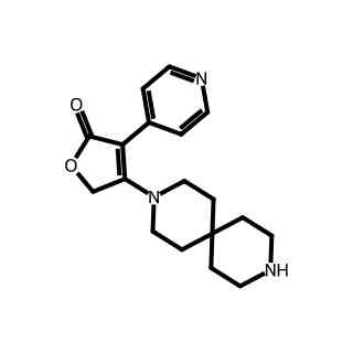 O=C1OCC(N2CCC3(CCNCC3)CC2)=C1c1ccncc1